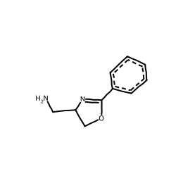 NCC1COC(c2ccccc2)=N1